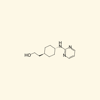 OCC[C@H]1CC[C@H](Nc2ncccn2)CC1